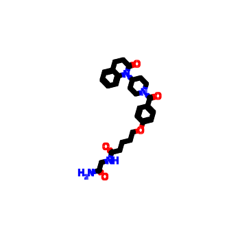 NC(=O)CNC(=O)CCCCOc1ccc(C(=O)N2CCC(N3C(=O)CCc4ccccc43)CC2)cc1